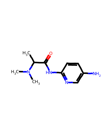 CC(C(=O)Nc1ccc(N)cn1)N(C)C